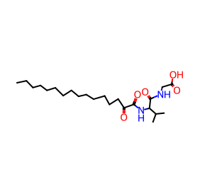 CCCCCCCCCCCCCCC(=O)C(=O)NC(C(=O)NCC(=O)O)C(C)C